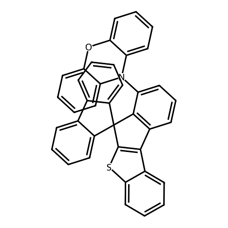 c1ccc2c(c1)Oc1ccccc1N2c1cccc2c1C1(c3ccccc3-c3ccccc31)c1sc3ccccc3c1-2